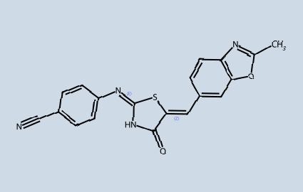 Cc1nc2ccc(/C=C3\S/C(=N/c4ccc(C#N)cc4)NC3=O)cc2o1